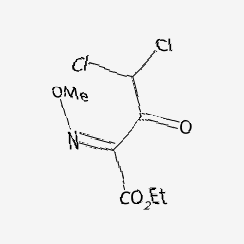 CCOC(=O)C(=NOC)C(=O)C(Cl)Cl